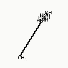 CCCCCCCCCCCCCCCCCCCCCCCCCCCNNNNNC(=O)O